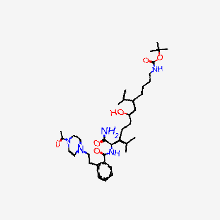 CC(=O)N1CCN(CCc2ccccc2C(=O)NC(C(N)=O)C(CCC(O)CC(CCCCNC(=O)OC(C)(C)C)C(C)C)C(C)C)CC1